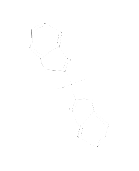 CC(C)(c1nc2ccccc2s1)c1nc2ccccc2s1